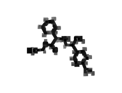 CCOC(=O)C(NCC(C)c1cnc(C)nc1)c1ccccc1